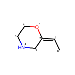 CC=C1CNCCO1